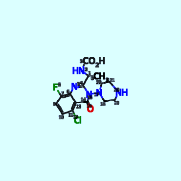 CC(NC(=O)O)c1nc2c(F)ccc(Cl)c2c(=O)n1N1CCNCC1